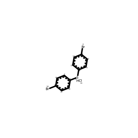 Brc1ccc(Sc2ccc(Br)cc2)cc1.Cl